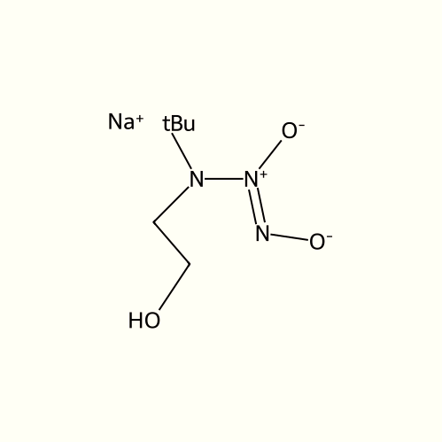 CC(C)(C)N(CCO)[N+]([O-])=N[O-].[Na+]